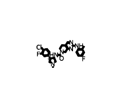 Cc1cc(F)ccc1Nc1ncc2c(n1)CN(C(=O)NC1CN(C)C[C@H]1c1ccc(Cl)c(F)c1)CC2